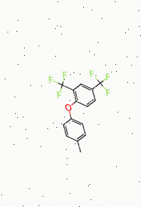 Cc1ccc(Oc2ccc(C(F)(F)F)cc2C(F)(F)F)cc1